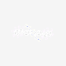 N#C/N=c1\c2cc(-c3c(F)c(F)c4c(F)c(F)c(F)c(F)c4c3F)ccc2c2nc3/c(=N/C#N)c4cc(-c5c(F)c(F)c6c(F)c(F)c(F)c(F)c6c5F)ccc4c3nc12